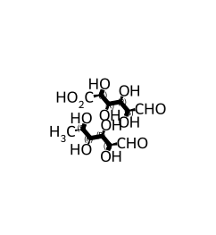 C[C@H](O)[C@@H](O)[C@@H](O)[C@H](O)C=O.O=C[C@@H](O)[C@H](O)[C@@H](O)[C@H](O)C(=O)O